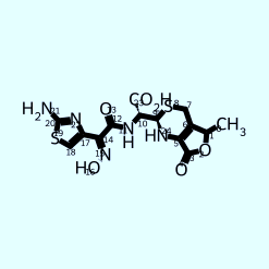 CC1OC(=O)C2=C1CS[C@H]([C@H](NC(=O)C(=NO)c1csc(N)n1)C(=O)O)N2